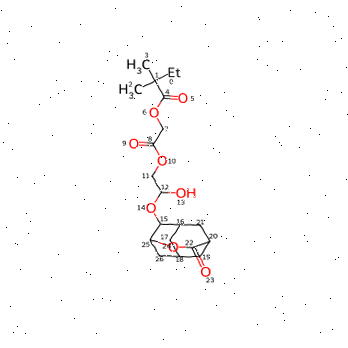 CCC(C)(C)C(=O)OCC(=O)OCC(O)OC1C2CC3CC(C2)C(=O)OC1C3